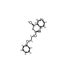 O=C1CC(OCCOc2ccccc2)=Nc2ccncc21